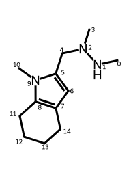 CNN(C)Cc1cc2c(n1C)CCCC2